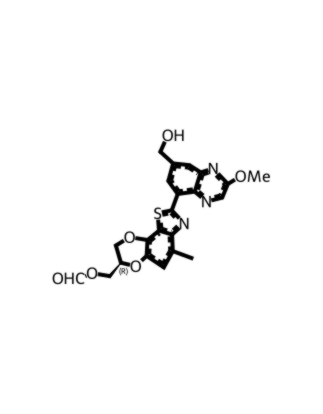 COc1cnc2c(-c3nc4c(C)cc5c(c4s3)OC[C@H](COC=O)O5)cc(CO)cc2n1